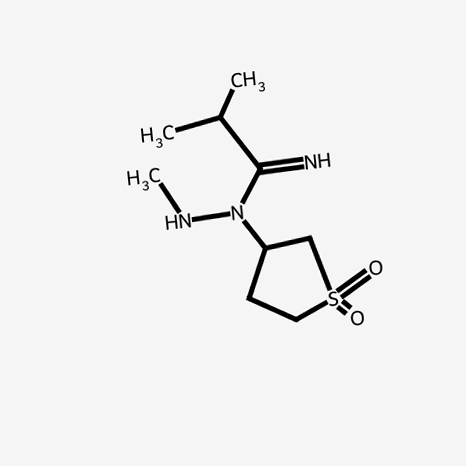 CNN(C(=N)C(C)C)C1CCS(=O)(=O)C1